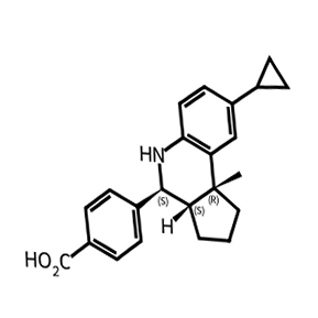 C[C@@]12CCC[C@@H]1[C@@H](c1ccc(C(=O)O)cc1)Nc1ccc(C3CC3)cc12